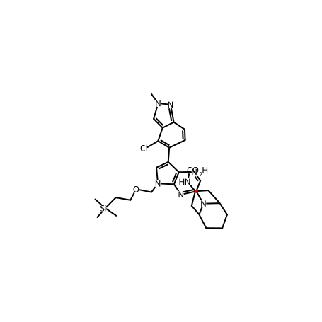 Cn1cc2c(Cl)c(-c3cn(COCC[Si](C)(C)C)c4nc(N5C6CCCC5CC(NC(=O)O)C6)cnc34)ccc2n1